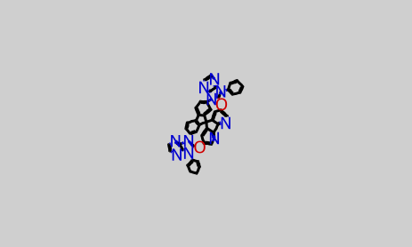 O=c1n(C2=CCCC=C2)c2nccnc2n1-c1ccc2c(c1)C1(c3cc(-n4c(=O)n(-c5ccccc5)c5nccnc54)ccc3-2)c2cccnc2-c2ncccc21